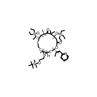 CC[Si](CC)(CC)O[C@H]1[C@@H](C)CCC[C@]2(C)[C@H](C[C@@H](/C(C)=C/c3ccccn3)OC(=O)C[C@H](O[Si](CC)(CC)CC)C(C)(C)C(=O)[C@@H]1C)N2CCO[Si](C)(C)C(C)(C)C